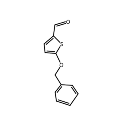 O=Cc1ccc(OCc2ccccc2)s1